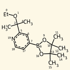 CCOC(C)(C)c1cc(B2OC(C)(C)C(C)(C)O2)ccn1